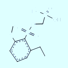 CCc1cccc(SC)c1S(=O)(=O)OCP(=O)(O)O